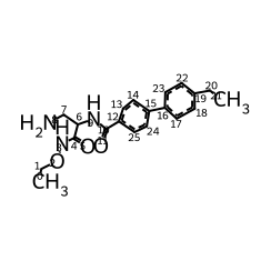 CCONC(=O)C(CN)NC(=O)c1ccc(-c2ccc(CC)cc2)cc1